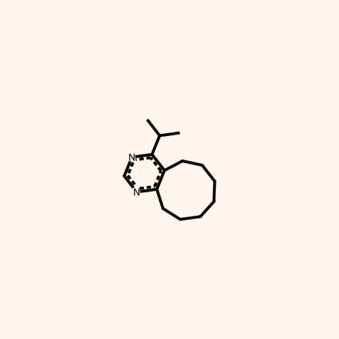 CC(C)c1ncnc2c1CCCCCCC2